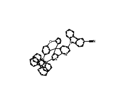 N#Cc1ccc2c(c1)c1ccccc1n2-c1cnc2c(c1)C1(c3ccccc3Oc3ccc(-n4c5ccccc5c5ccccc54)cc31)c1cc(-n3c4ccccc4c4ccccc43)cnc1-2